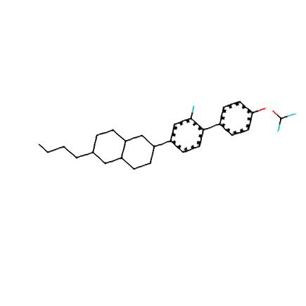 CCCCC1CCC2CC(c3ccc(-c4ccc(OC(F)F)cc4)c(F)c3)CCC2C1